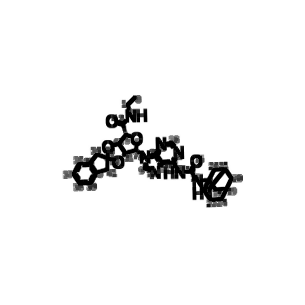 CCNC(=O)[C@H]1O[C@@H](n2cnc3c(NC(=O)NC45CC6CC(CC(C6)C4)C5)ncnc32)C2OC3(Cc4ccccc4C3)OC21